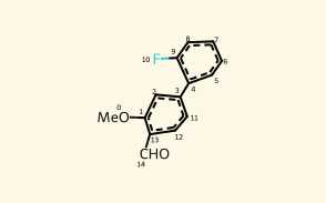 COc1cc(-c2ccccc2F)ccc1C=O